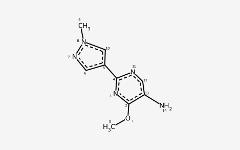 COc1nc(-c2cnn(C)c2)ncc1N